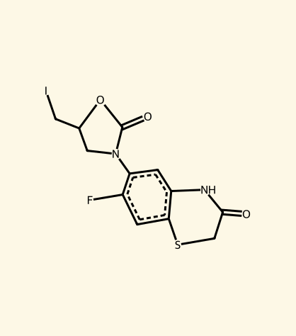 O=C1CSc2cc(F)c(N3CC(CI)OC3=O)cc2N1